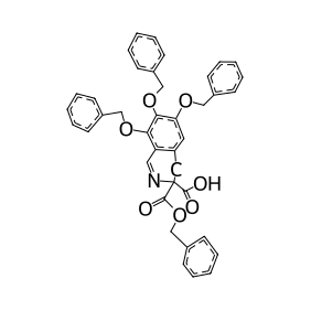 O=C(O)C1(C(=O)OCc2ccccc2)Cc2cc(OCc3ccccc3)c(OCc3ccccc3)c(OCc3ccccc3)c2C=N1